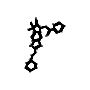 CC1(C)C(=O)N(CC(=O)c2ccccc2)c2cc3nc(CCc4ccccc4)[nH]c3cc21